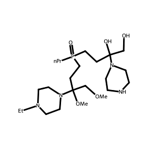 CCCP(=O)(CCC(O)(CO)N1CCNCC1)CCC(COC)(OC)N1CCN(CC)CC1